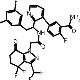 NC(=O)c1cc(-c2cccnc2C(Cc2cc(F)cc(F)c2)NC(=O)Cn2nc(C(F)F)c3c2C(=O)CCC3(F)F)ccc1F